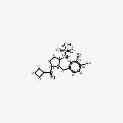 CS(=O)(=O)NC1CCN(C(=O)C2CCC2)C1Cc1ccc(F)c(Br)c1